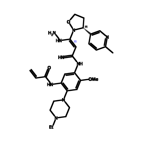 C=CC(=O)Nc1cc(NC(=N)/C=C(\NN)N2OCC[C@@H]2c2ccc(C)nc2)c(OC)cc1N1CCN(CC)CC1